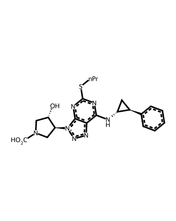 CCCSc1nc(N[C@@H]2C[C@H]2c2ccccc2)c2nnn([C@H]3CN(C(=O)O)C[C@@H]3O)c2n1